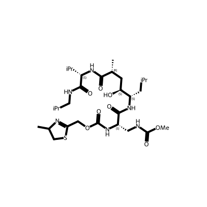 COC(=O)NC[C@H](NC(=O)OCC1=NC(C)CS1)C(=O)N[C@@H](CC(C)C)[C@@H](O)C[C@@H](C)C(=O)N[C@H](C(=O)NCC(C)C)C(C)C